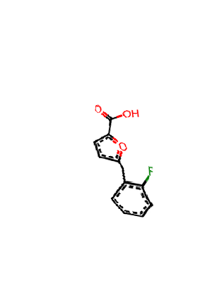 O=C(O)c1ccc(-c2ccccc2F)o1